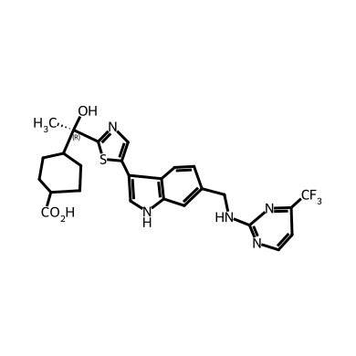 C[C@](O)(c1ncc(-c2c[nH]c3cc(CNc4nccc(C(F)(F)F)n4)ccc23)s1)C1CCC(C(=O)O)CC1